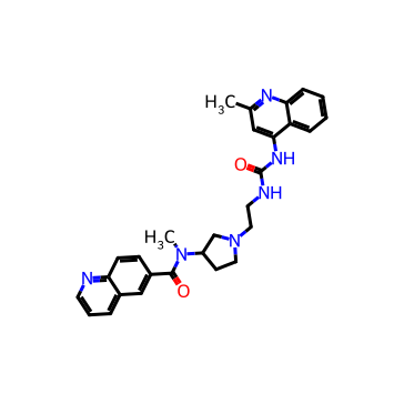 Cc1cc(NC(=O)NCCN2CCC(N(C)C(=O)c3ccc4ncccc4c3)C2)c2ccccc2n1